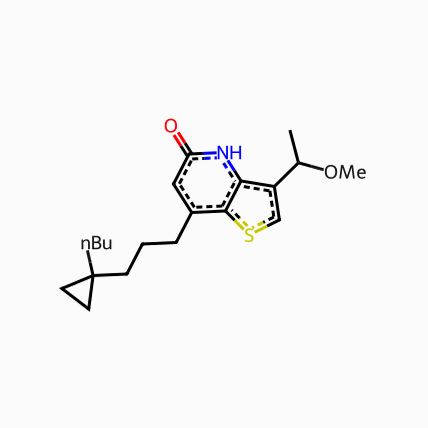 CCCCC1(CCCc2cc(=O)[nH]c3c(C(C)OC)csc23)CC1